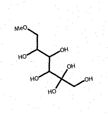 COCC(O)C(O)C(O)C(O)(O)CO